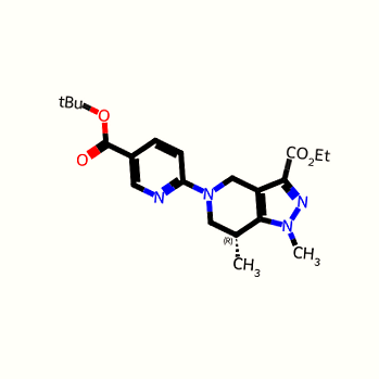 CCOC(=O)c1nn(C)c2c1CN(c1ccc(C(=O)OC(C)(C)C)cn1)C[C@H]2C